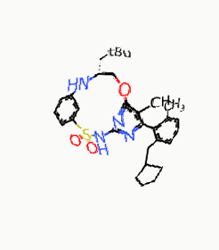 Cc1cccc(CC2CCCC2)c1-c1nc2nc(c1C)OC[C@@H](CC(C)(C)C)Nc1cccc(c1)S(=O)(=O)N2